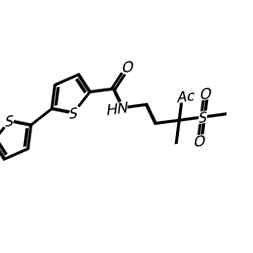 CC(=O)C(C)(CCNC(=O)c1ccc(-c2cccs2)s1)S(C)(=O)=O